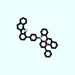 c1ccc(-c2ccc(N(c3ccc(-c4cccc5c4oc4c6ccccc6ccc54)cc3)c3ccccc3-c3ccc4ccccc4c3)cc2)cc1